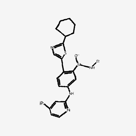 CCN[S+]([O-])c1cc(Nc2cc(C(C)C)ccn2)ccc1-c1cnc(C2CCCCC2)s1